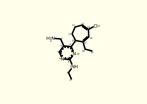 CCNc1ncc(CN)c(C2CCC=C(Cl)C=C2CC)n1